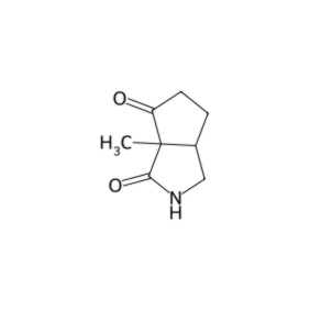 CC12C(=O)CCC1CNC2=O